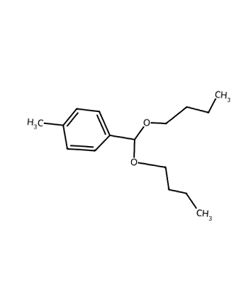 CCCCOC(OCCCC)c1ccc(C)cc1